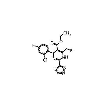 CCOC(=O)C1=C(CBr)NC(c2nncs2)=NC1c1ccc(F)cc1Cl